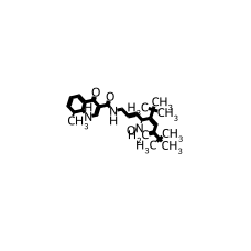 C=C(/C=C(\[C@@H](/C=C/CNC(=O)C1=CNC2C(=CC=C[C@@H]2C)C1=O)N=O)C(C)(C)C)C(C)(C)C